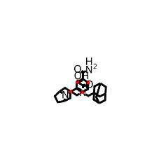 NC(=O)c1cccc(C2CC3CCC(C2)N3CCN(CC23CC4CC(CC(C4)C2)C3)C(=O)CO)c1